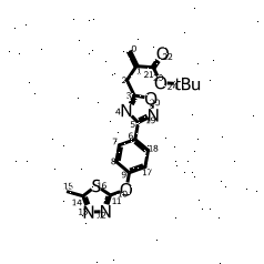 C=C(Cc1nc(-c2ccc(Oc3nnc(C)s3)cc2)no1)C(=O)OC(C)(C)C